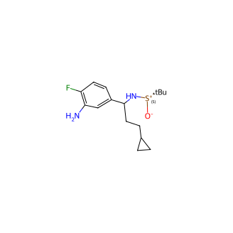 CC(C)(C)[S@@+]([O-])NC(CCC1CC1)c1ccc(F)c(N)c1